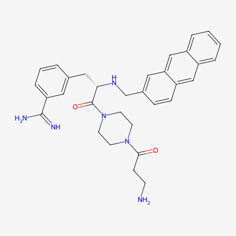 N=C(N)c1cccc(C[C@H](NCc2ccc3cc4ccccc4cc3c2)C(=O)N2CCN(C(=O)CCN)CC2)c1